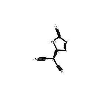 N#CC(C#N)=C1C=CC(=O)N1